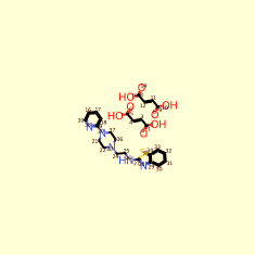 O=C(O)C=CC(=O)O.O=C(O)C=CC(=O)O.c1ccc(N2CCN(CCNc3nc4ccccc4s3)CC2)nc1